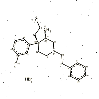 Br.CCC[C@]1(c2cccc(O)c2)CCN(CCc2ccccc2)C[C@@H]1C